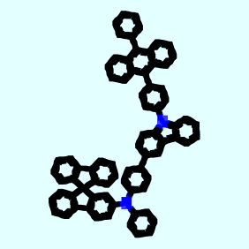 c1ccc(-c2c3ccccc3c(-c3ccc(-n4c5ccccc5c5cc(-c6ccc(N(c7ccccc7)c7ccc8c(c7)C7(c9ccccc9-c9ccccc97)c7ccccc7-8)cc6)ccc54)cc3)c3ccccc23)cc1